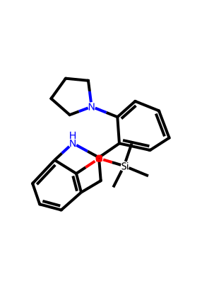 C[Si](C)(C)Oc1c2cccc1NC(c1ccccc1N1CCCC1)C2